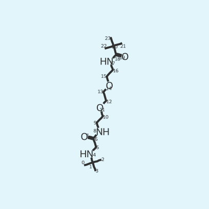 CC(C)(C)NCC(=O)NCCOCCOCCNC(=O)C(C)(C)C